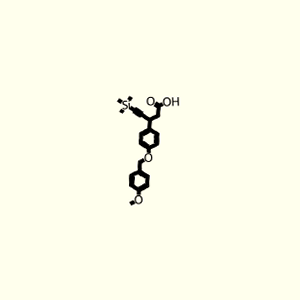 COc1ccc(COc2ccc(C(C#C[Si](C)(C)C)CC(=O)O)cc2)cc1